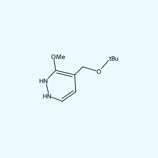 COC1=C(COC(C)(C)C)C=[C]NN1